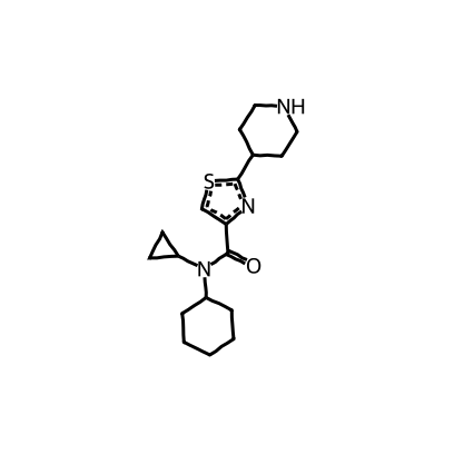 O=C(c1csc(C2CCNCC2)n1)N(C1CCCCC1)C1CC1